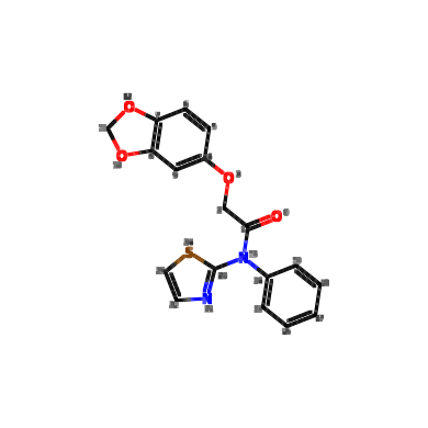 O=C(COc1ccc2c(c1)OCO2)N(c1ccccc1)c1nccs1